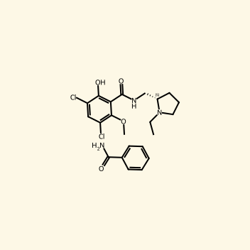 CCN1CCC[C@H]1CNC(=O)c1c(O)c(Cl)cc(Cl)c1OC.NC(=O)c1ccccc1